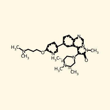 C[C@@H]1CN(c2c(=O)n(C)n3cnc4ccc(-c5ccc(OCCCN(C)C)nc5)cc4c23)C[C@H](C)N1C